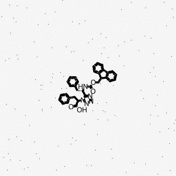 O=C(N[C@@H](Cc1ccccc1)c1nnnn1C(Cc1ccccc1)C(=O)O)OCC1c2ccccc2-c2ccccc21